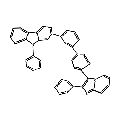 c1ccc(-c2nc3ccccn3c2-c2ccc(-c3cccc(-c4ccc5c6ccccc6n(-c6ccccc6)c5c4)c3)cc2)cc1